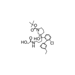 CCc1cccc(-c2c(Cl)cccc2C(O)(CCCNC(=O)CO)[C@@H]2CCCN(C(=O)OC(C)(C)C)C2)c1